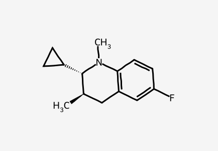 C[C@@H]1Cc2cc(F)ccc2N(C)[C@H]1C1CC1